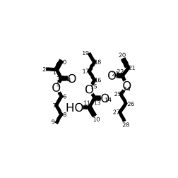 C=C(C)C(=O)OCCCC.C=C(O)C(=O)OCCCC.C=CC(=O)OCCCC